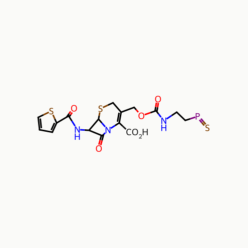 O=C(NCCP=S)OCC1=C(C(=O)O)N2C(=O)C(NC(=O)c3cccs3)C2SC1